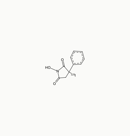 O=C1CC([125I])(c2ccccc2)C(=O)N1O